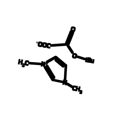 CC(C)(C)OC(=O)C(=O)[O-].Cn1cc[n+](C)c1